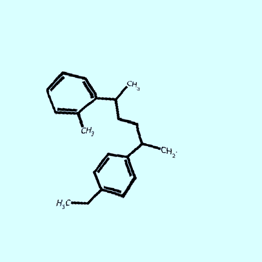 [CH2]C(CCC(C)c1ccccc1C)c1ccc(CC)cc1